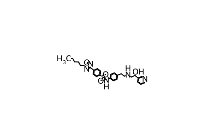 CCCCCc1nc(-c2ccc(S(=O)(=O)Nc3ccc(CCNCC(O)c4cccnc4)cc3)cc2)no1